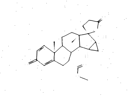 COC(=O)[C@@H]1CC2=CC(=O)C=C[C@]2(C)C2CC[C@@]3(C)C(C21)[C@@H]1C[C@@H]1[C@]31CCC(=O)O1